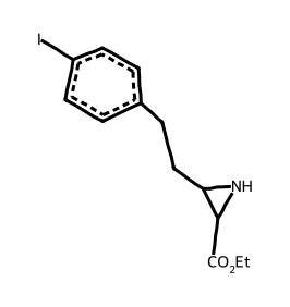 CCOC(=O)C1NC1CCc1ccc(I)cc1